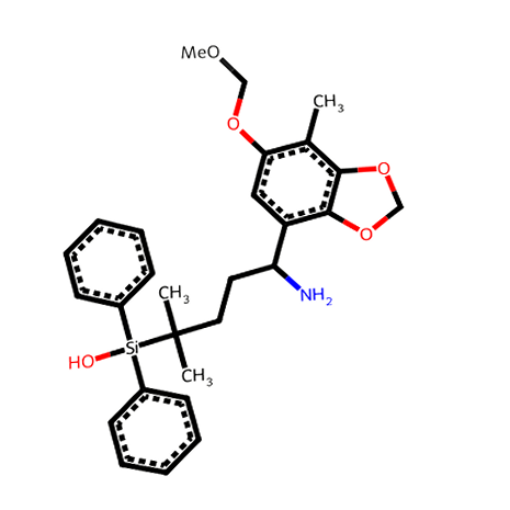 COCOc1cc(C(N)CCC(C)(C)[Si](O)(c2ccccc2)c2ccccc2)c2c(c1C)OCO2